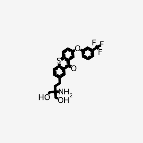 NC(CO)(CO)CCc1ccc2sc3ccc(Oc4cccc(C(F)(F)F)c4)cc3c(=O)c2c1